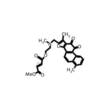 COC(=O)/C=C/C(=O)OCCN(C)Cc1oc2c(c1C)C(=O)C(=O)c1c-2ccc2c(C)cccc12